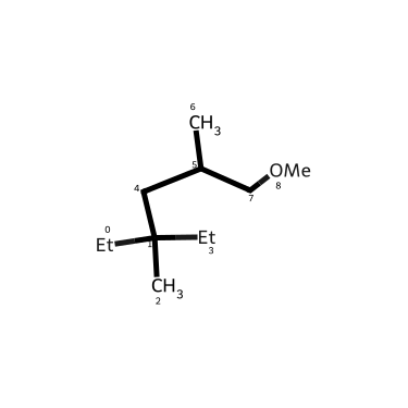 CCC(C)(CC)CC(C)COC